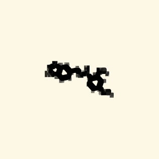 O=[N+]([O-])c1ccc(N/N=C/c2ccc3[nH]nnc3c2)c([N+](=O)[O-])c1